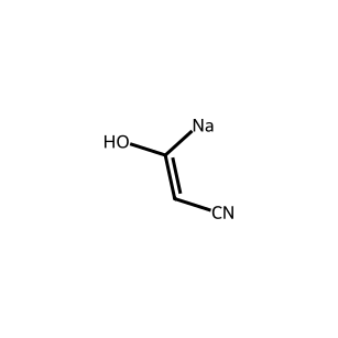 N#CC=[C](O)[Na]